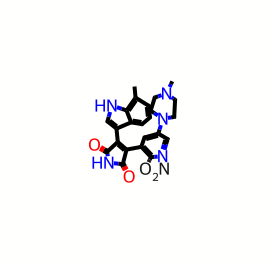 Cc1cccc2c(C3=C(c4cc(N5CCN(C)CC5)cnc4[N+](=O)[O-])C(=O)NC3=O)c[nH]c12